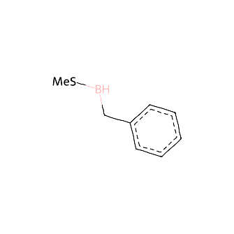 CSBCc1ccccc1